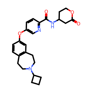 O=C1CC(NC(=O)c2ccc(Oc3ccc4c(c3)CCN(C3CCC3)CC4)cn2)CCO1